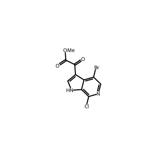 COC(=O)C(=O)c1c[nH]c2c(Cl)ncc(Br)c12